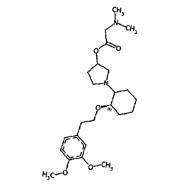 COc1ccc(CCO[C@@H]2CCCCC2N2CCC(OC(=O)CN(C)C)C2)cc1OC